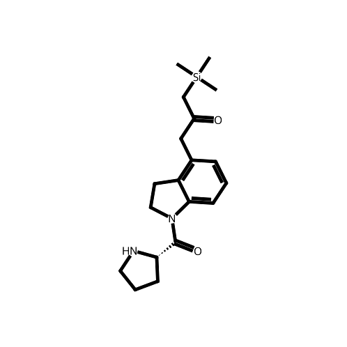 C[Si](C)(C)CC(=O)Cc1cccc2c1CCN2C(=O)[C@@H]1CCCN1